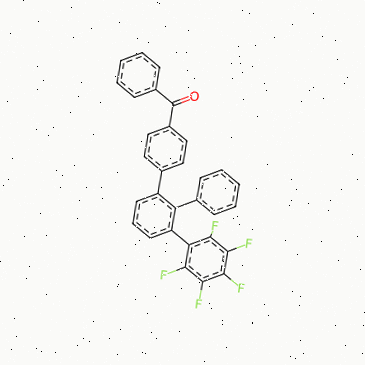 O=C(c1ccccc1)c1ccc(-c2cccc(-c3c(F)c(F)c(F)c(F)c3F)c2-c2ccccc2)cc1